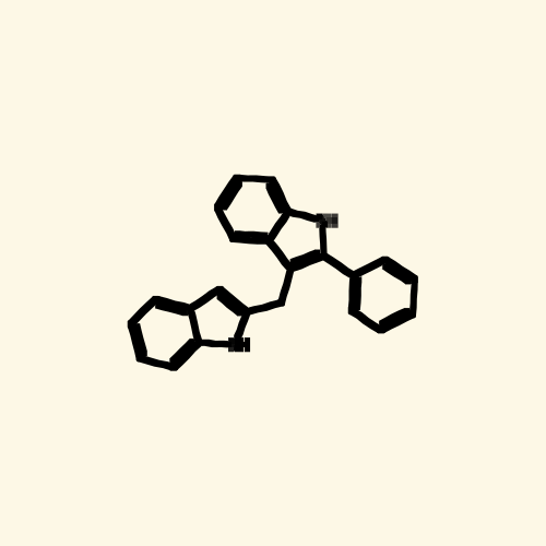 c1ccc(-c2[nH]c3ccccc3c2Cc2cc3ccccc3[nH]2)cc1